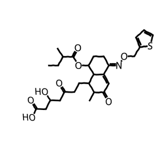 CCC(C)C(=O)OC1CC/C(=N\OCc2cccs2)C2=CC(=O)C(C)C(CCC(=O)CC(O)CC(=O)O)C21